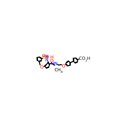 C.O=C(O)c1ccc(-c2ccc(OCCNCC(O)c3ccc4cc3NS(=O)(=O)c3cccc(c3)CO4)cc2)cc1